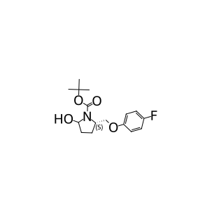 CC(C)(C)OC(=O)N1C(O)CC[C@H]1COc1ccc(F)cc1